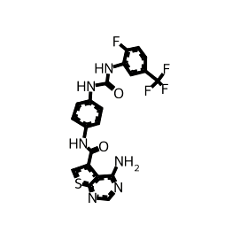 Nc1ncnc2scc(C(=O)Nc3ccc(NC(=O)Nc4cc(C(F)(F)F)ccc4F)cc3)c12